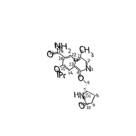 Cc1cnc(OC[C@@H]2CCC(=O)N2)c2cc(OC(C)C)c(C(N)=O)cc12